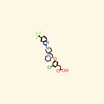 O=C(O)Cc1cc(Cl)cc(OCCC2(N3CCCCC3)CCN(C3=Nc4ccc(C(F)(F)F)cc4C3)CC2)c1